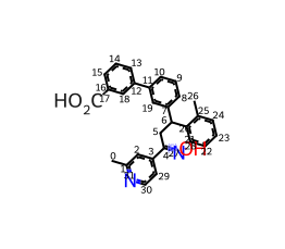 Cc1cc(/C(CC(c2cccc(-c3cccc(C(=O)O)c3)c2)c2ccccc2C)=N/O)ccn1